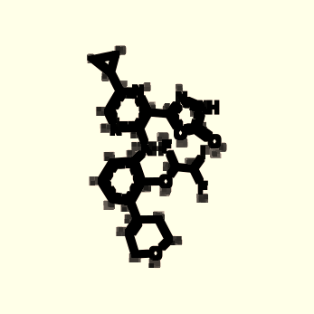 O=c1[nH]nc(-c2nc(C3CC3)cnc2Nc2cccc(C3=CCOCC3)c2OC(F)C(F)F)o1